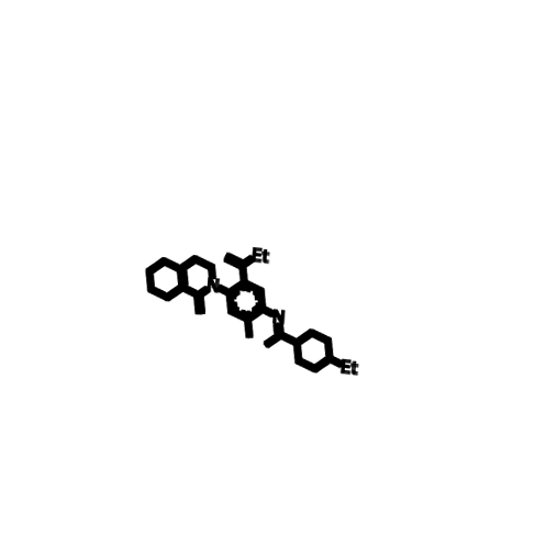 C=C(CC)c1cc(/N=C(\C)C2CCC(CC)CC2)c(C)cc1N1CCC2=C(CCCC2)C1=C